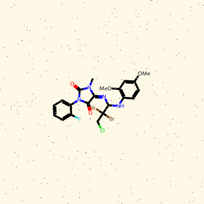 COc1ccc(NC(N=C2C(=O)N(c3ccccc3F)C(=O)N2C)C(Br)(Br)CCl)c(OC)c1